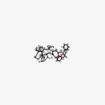 CC(C)(C)[Si](O[C@H]1CC[C@@](C)([C@H]2CC[C@@]3(C)[C@@H](CC[C@]3(C)O)[C@@H]2CO)[C@@H](CO)C1)(c1ccccc1)c1ccccc1